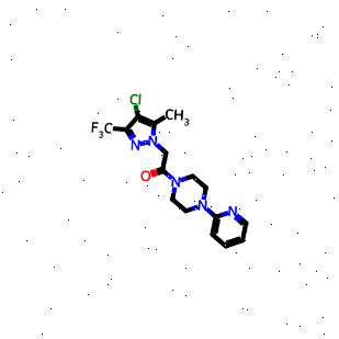 Cc1c(Cl)c(C(F)(F)F)nn1CC(=O)N1CCN(c2ccccn2)CC1